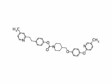 Cc1ccc(Oc2ccc(OCC3CCN(C(=O)Oc4ccc(CCc5cc(C)ccn5)cc4)CC3)cc2)nc1